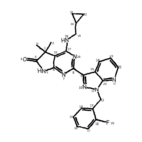 CC1(C)C(=O)Nc2nc(-c3nn(Cc4ccccc4F)c4ncccc34)nc(NCC3CC3)c21